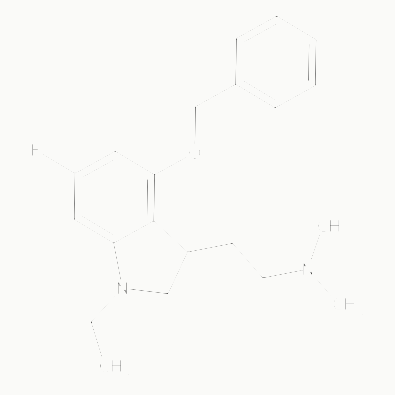 CCN1CC(CCN(C)C)c2c(OCc3ccccc3)cc(F)cc21